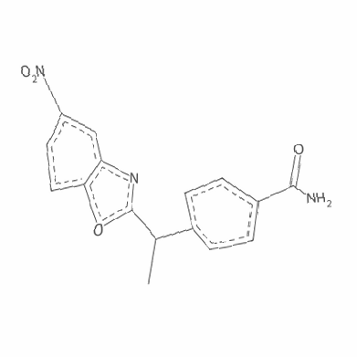 CC(c1ccc(C(N)=O)cc1)c1nc2cc([N+](=O)[O-])ccc2o1